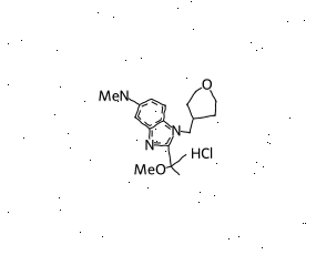 CNc1ccc2c(c1)nc(C(C)(C)OC)n2CC1CCOCC1.Cl